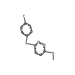 COc1ccc(Sc2ccc(F)cc2)nn1